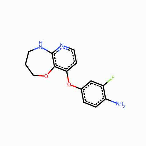 Nc1ccc(Oc2ccnc3c2OCCCN3)cc1F